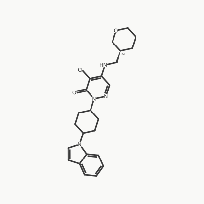 O=c1c(Cl)c(NC[C@@H]2CCCOC2)cnn1C1CCC(n2ccc3ccccc32)CC1